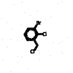 ClCc1cccc(Br)c1Cl